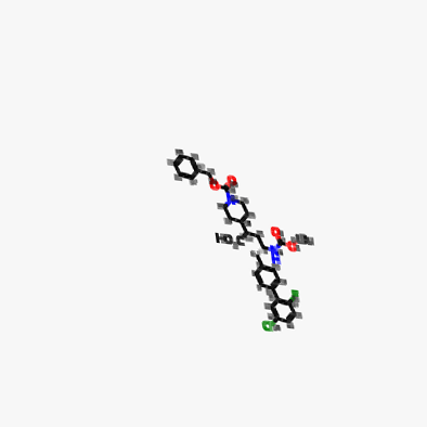 CC(C)(C)OC(=O)N[C@H](Cc1ccc(-c2cc(Cl)ccc2F)cc1)CC(C(=O)O)C1CCN(C(=O)OCc2ccccc2)CC1